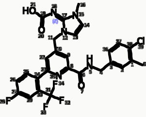 Cc1cc(CNC(=O)c2cc(Cn3ccn(C)/c3=N/C(=O)O)cc(-c3ccc(F)cc3C(F)(F)F)n2)ccc1Cl